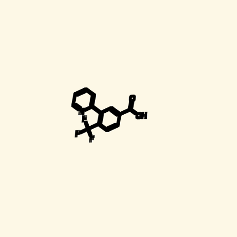 O=C(O)c1ccc(C(F)(F)F)c(-c2ccccn2)c1